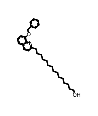 OCCCCCCCCCCCCCCCc1ccc2cccc(OCc3ccccc3)c2n1